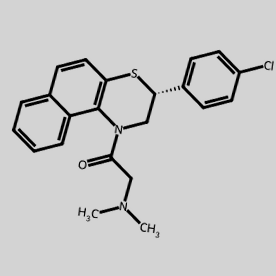 CN(C)CC(=O)N1C[C@@H](c2ccc(Cl)cc2)Sc2ccc3ccccc3c21